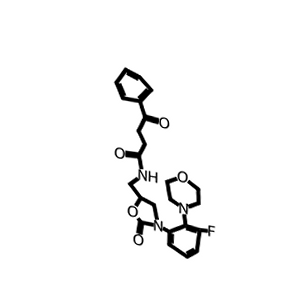 O=C(CCC(=O)c1ccccc1)NCC1CN(c2cccc(F)c2N2CCOCC2)C(=O)O1